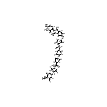 Cc1cc(OC2C(C)(C)C(NC(=O)c3ccc(N4CCC(CN(C)[C@H]5CC[C@H](Oc6ccc7c(c6)C(=O)N(C6CCC(=O)NC6=O)C7=O)C5)CC4)cc3)C2(C)C)cc(C)c1C#N